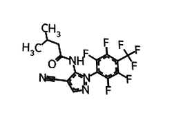 CC(C)CC(=O)Nc1c(C#N)cnn1-c1c(F)c(F)c(C(F)(F)F)c(F)c1F